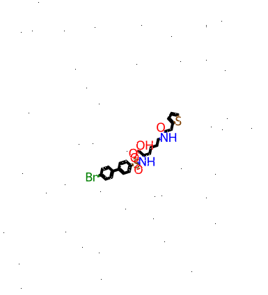 O=C(Cc1cccs1)NCCCCC(NS(=O)(=O)c1ccc(-c2ccc(Br)cc2)cc1)C(=O)O